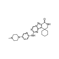 CN1CCN(c2ccc(Nc3ncn4nc5c(c4n3)C3(CCCCC3)CNC5=O)nc2)CC1